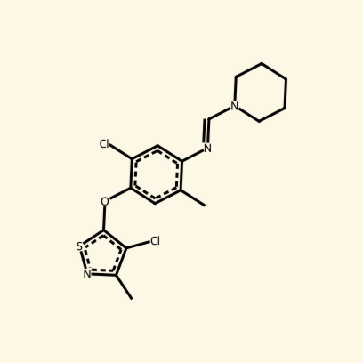 Cc1cc(Oc2snc(C)c2Cl)c(Cl)cc1/N=C/N1CCCCC1